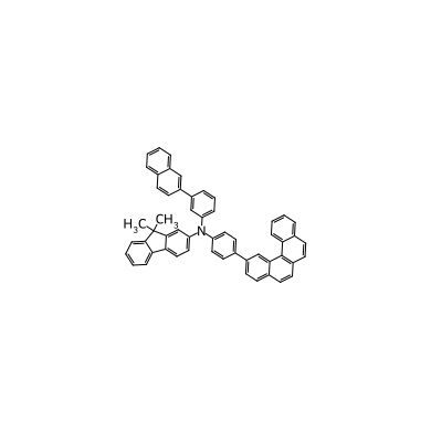 CC1(C)c2ccccc2-c2ccc(N(c3ccc(-c4ccc5ccc6ccc7ccccc7c6c5c4)cc3)c3cccc(-c4ccc5ccccc5c4)c3)cc21